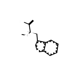 CN[C@H](Cc1csc2ccccc12)C(=O)O